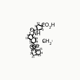 O=C(O)c1ccc(C(=O)Nc2cccc3cc(S(=O)(=O)N4CCCC5CCCC4C5)ccc23)cc1.[CH2]